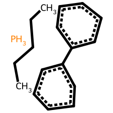 CCCCC.P.c1ccc(-c2ccccc2)cc1